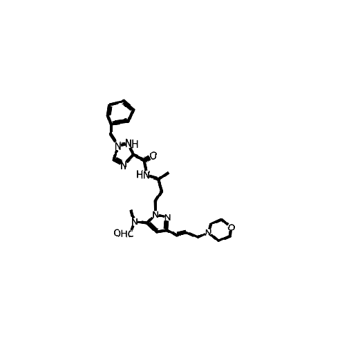 CC(CCn1nc(/C=C/CN2CCOCC2)cc1N(C)C=O)NC(=O)C1N=CN(Cc2ccccc2)N1